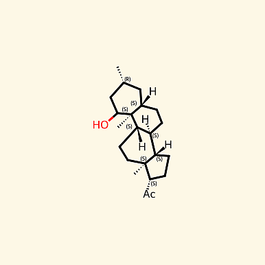 CC(=O)[C@H]1CC[C@H]2[C@@H]3CC[C@H]4C[C@@H](C)CC(O)[C@]4(C)[C@H]3CC[C@]12C